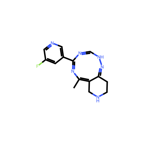 Cc1nc(-c2cncc(F)c2)nc[nH]nc2c1CNCC2